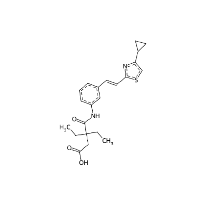 CCC(CC)(CC(=O)O)C(=O)Nc1cccc(C=Cc2nc(C3CC3)cs2)c1